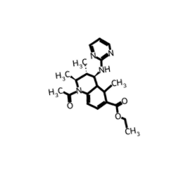 CCOC(=O)C1=CC=C2C(C1C)[C@H](Nc1ncccn1)[C@@H](C)[C@H](C)N2C(C)=O